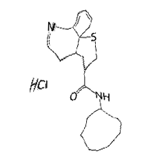 Cl.O=C(NC1CCCCCC1)C1CSC23CC=CC=C2N=CCC13